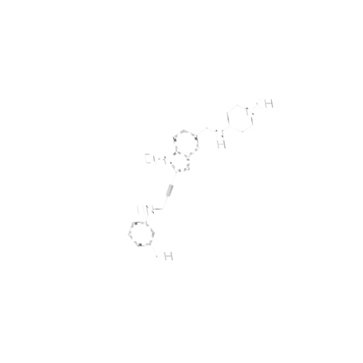 CCn1c(C#CCNc2cccc(C)c2)cc2cc(CNC3CCN(C)CC3)ccc21